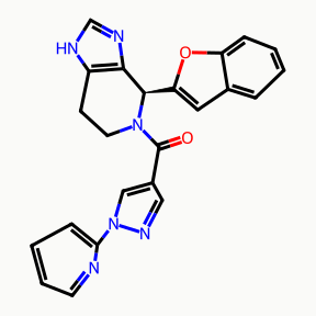 O=C(c1cnn(-c2ccccn2)c1)N1CCc2[nH]cnc2[C@H]1c1cc2ccccc2o1